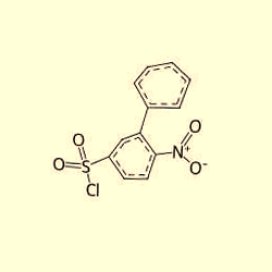 O=[N+]([O-])c1ccc(S(=O)(=O)Cl)cc1-c1ccccc1